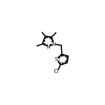 Cc1nn(Cc2ccc(Cl)s2)c(C)c1C